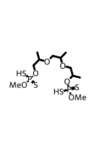 COP(=S)(S)OCC(C)OCC(C)OCC(C)OP(=S)(S)OC